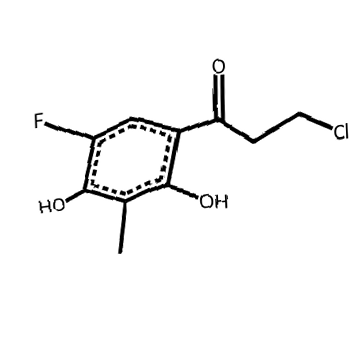 Cc1c(O)c(F)cc(C(=O)CCCl)c1O